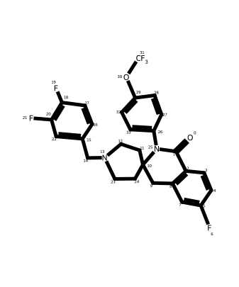 O=C1c2ccc(F)cc2CC2(CCN(Cc3ccc(F)c(F)c3)CC2)N1c1ccc(OC(F)(F)F)cc1